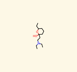 CCC1CCCC(O)(CCN(CC)CC)O1